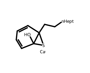 CCCCCCCCCC12C=CC=CC1(O)S2.[Ca]